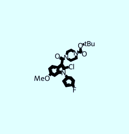 COc1ccc2c(C(=O)N3CCN(C(=O)OC(C)(C)C)CC3)c(Cl)n(-c3ccc(F)cc3)c2c1